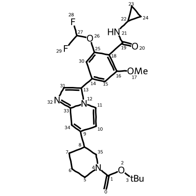 C=C(OC(C)(C)C)N1CCCC(c2ccn3c(-c4cc(OC)c(C(=O)NC5CC5)c(OC(F)F)c4)cnc3c2)C1